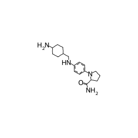 NC(=O)C1CCCN1c1ccc(NCC2CCC(N)CC2)cc1